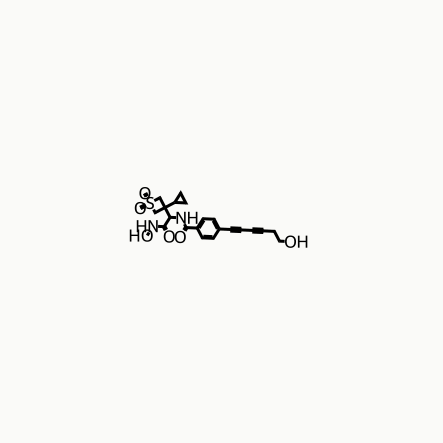 O=C(NC(C(=O)NO)C1(C2CC2)CS(=O)(=O)C1)c1ccc(C#CC#CCCO)cc1